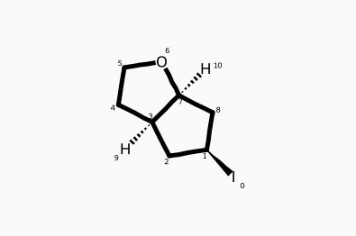 I[C@H]1C[C@H]2CCO[C@H]2C1